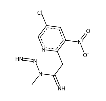 CN(N=N)C(=N)Cc1ncc(Cl)cc1[N+](=O)[O-]